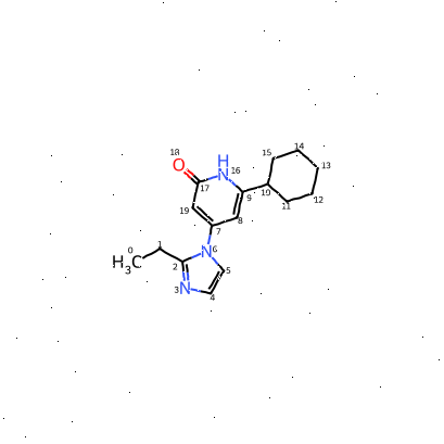 CCc1nccn1-c1cc(C2CCCCC2)[nH]c(=O)c1